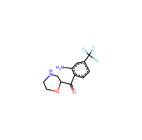 Nc1cc(C(F)(F)F)ccc1C(=O)C1CNCCO1